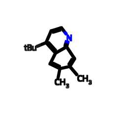 Cc1cc2nccc(C(C)(C)C)c2cc1C